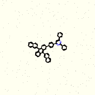 c1ccc(-c2cc(-c3ccc(-c4ccc5c(-c6ccc7ccccc7c6)c6ccccc6c(-c6ccc7ccccc7c6)c5c4)cc3)nc(-c3ccccc3)n2)cc1